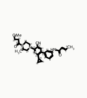 CC=CC(=O)Nc1cccc(-c2cc(C#N)c(N3CCN(C(=O)CCOC)[C@H](C)C3)nc2C2CC2)c1